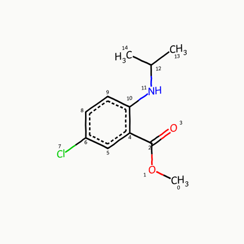 COC(=O)c1cc(Cl)ccc1NC(C)C